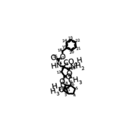 CC1(C)C2CCC1(C)C(OC(=O)CC(NC(=O)OCc1ccccc1)(C(N)=O)C(=O)O)C2